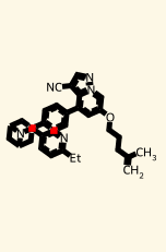 C=C(C)CCCOc1cc(-c2ccc(N3CC4CC(C3)N4Cc3ccc(CC)nc3)nc2)c2c(C#N)cnn2c1